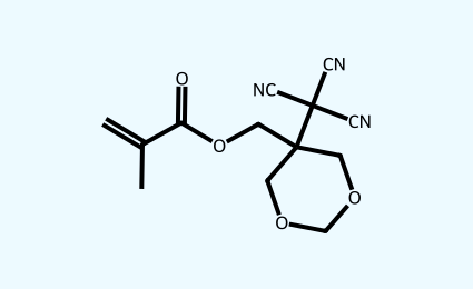 C=C(C)C(=O)OCC1(C(C#N)(C#N)C#N)COCOC1